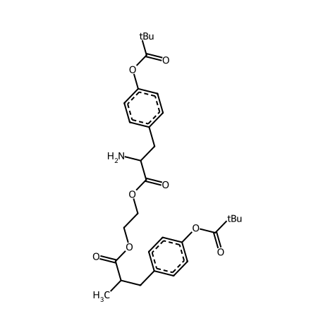 CC(Cc1ccc(OC(=O)C(C)(C)C)cc1)C(=O)OCCOC(=O)C(N)Cc1ccc(OC(=O)C(C)(C)C)cc1